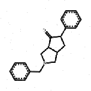 O=C1C(c2ccccc2)CC2CN(Cc3ccccc3)CC12